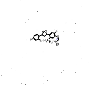 CCN(C)/C=N\c1cc(C)c(C2CC(c3ccc(F)cc3Br)=NO2)cc1Cl